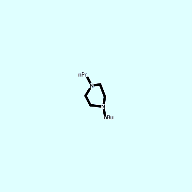 CCCCN1CCN(CCC)CC1